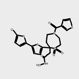 O=C(CC1(c2ccc(-c3ccc(Cl)s3)s2)CCN(C(=O)c2ccsc2)CCS1(=O)=O)NO